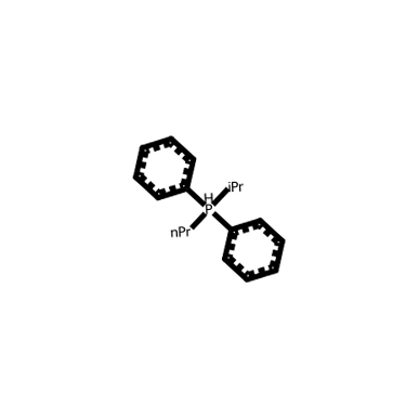 CCC[PH](c1ccccc1)(c1ccccc1)C(C)C